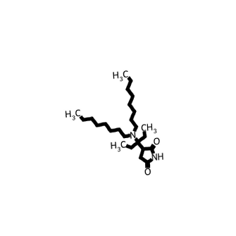 CCCCCCCCN(CCCCCCCC)C(CC)(CC)C1CC(=O)NC1=O